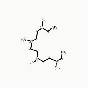 [CH2]CN(C)CCN(C)CCN(C)CCN(C)CC